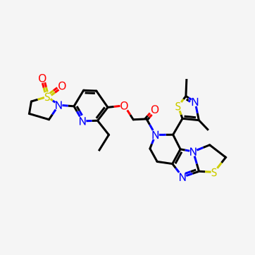 CCc1nc(N2CCCS2(=O)=O)ccc1OCC(=O)N1CCc2nc3n(c2C1c1sc(C)nc1C)CCS3